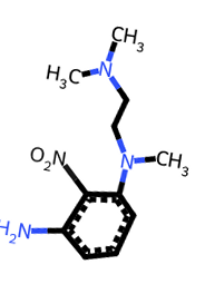 CN(C)CCN(C)c1cccc(N)c1[N+](=O)[O-]